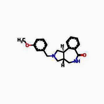 COc1cccc(CN2C[C@H]3CNC(=O)c4ccccc4[C@@H]3C2)c1